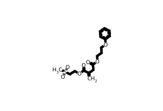 C=C(CC(=O)OCCCOc1ccccc1)C(=O)OCCS(C)(=O)=O